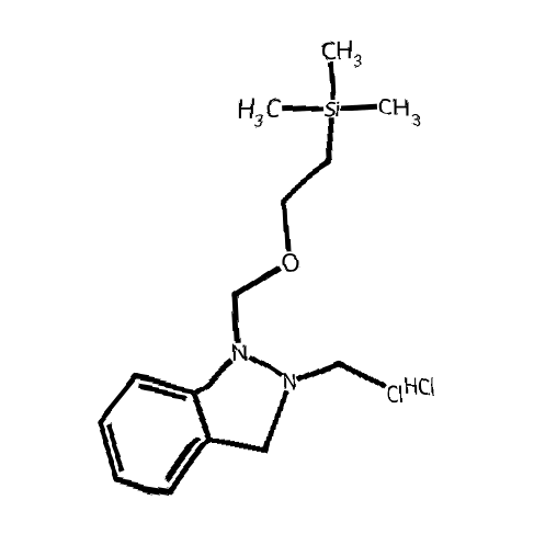 C[Si](C)(C)CCOCN1c2ccccc2CN1CCl.Cl